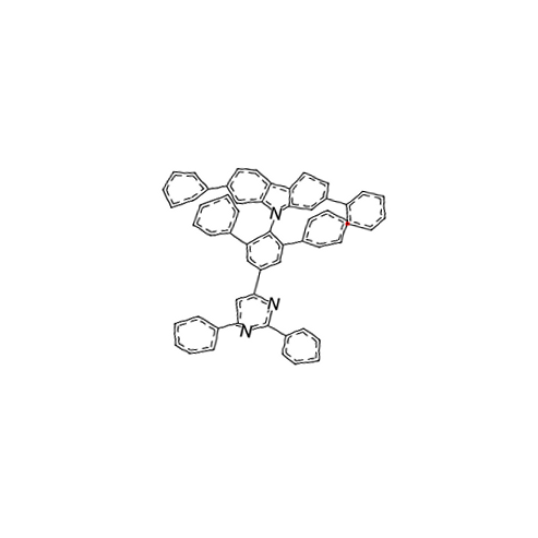 c1ccc(-c2ccc3c4ccc(-c5ccccc5)cc4n(-c4c(-c5ccccc5)cc(-c5cc(-c6ccccc6)nc(-c6ccccc6)n5)cc4-c4ccccc4)c3c2)cc1